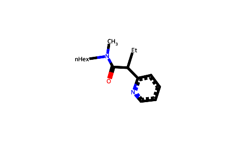 CCCCCCN(C)C(=O)C(CC)c1ccccn1